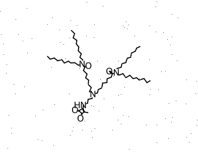 CCCCCCCCCCN(CCCCCCCCCC)C(=O)CCCCCCCN(CCCCCCCC(=O)N(CCCCCCCCCC)CCCCCCCCCC)CCCNc1c(C)c(=O)c1=O